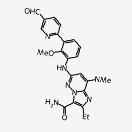 CCc1nc2c(NC)cc(Nc3cccc(-c4ccc(C=O)cn4)c3OC)nn2c1C(N)=O